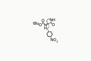 CC(C)(C)OC(=O)N[C@@]1(CCc2ccc([N+](=O)[O-])cc2)CCNC1=O